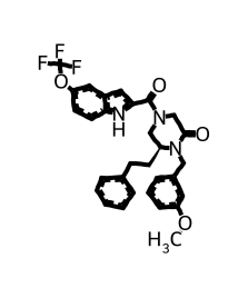 COc1cccc(CN2C(=O)CN(C(=O)c3cc4cc(OC(F)(F)F)ccc4[nH]3)C[C@@H]2CCc2ccccc2)c1